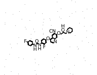 N#Cc1cc2c(Oc3ccc(NC(=O)Nc4ccc(F)cc4)c(F)c3)ccnc2cc1OCC(O)CN1CCCCC1